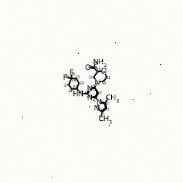 Cc1cc(C)n(-c2cc(N3CCOC(C(N)=O)C3)nc(NC3CCC(F)(F)CC3)n2)n1